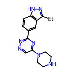 CCc1n[nH]c2ccc(-c3nncc(N4CCNCC4)n3)cc12